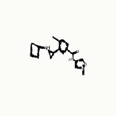 Cc1ccc(C(=O)Nc2cnn(C)c2)cc1C1CC1NC1CCC1